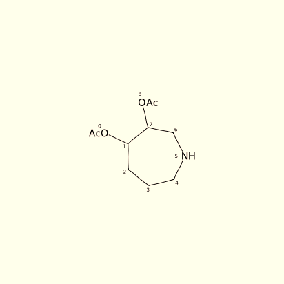 CC(=O)OC1CCCNCC1OC(C)=O